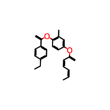 C=C(/C=C\C=C/C)Oc1ccc(OC(=C)c2ccc(CC)cc2)c(C)c1